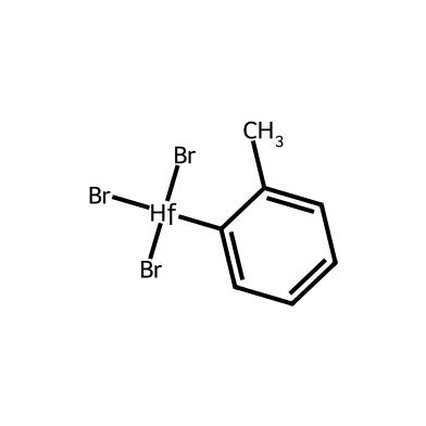 Cc1cccc[c]1[Hf]([Br])([Br])[Br]